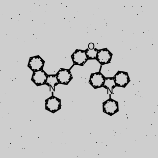 c1ccc(-n2c3ccccc3c3c(-c4cccc5oc6ccc(-c7ccc8c(c7)c7c9ccccc9ccc7n8-c7ccccc7)cc6c45)cccc32)cc1